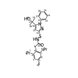 CC(C)c1cc(F)cc(C(C)C)c1CC(=O)NSc1cc(C(C)(C)O)n(-c2ccccc2)n1